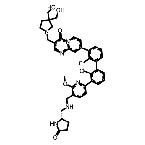 COc1nc(-c2cccc(-c3cccc(-c4ccn5c(=O)c(CN6CCC(CO)(CO)C6)cnc5c4)c3Cl)c2Cl)ccc1CNC[C@@H]1CCC(=O)N1